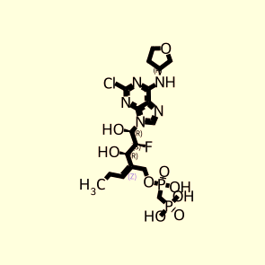 CC/C=C(/COP(=O)(O)CP(=O)(O)O)[C@@H](O)[C@H](F)[C@@H](O)n1cnc2c(N[C@@H]3CCOC3)nc(Cl)nc21